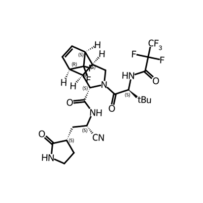 CC(C)(C)[C@H](NC(=O)C(F)(F)C(F)(F)F)C(=O)N1C[C@H]2[C@@H]([C@H]1C(=O)N[C@H](C#N)C[C@@H]1CCNC1=O)[C@H]1C=C[C@@H]2C1(F)F